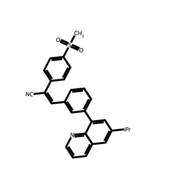 CC(C)c1cc(-c2cccc(C=C(C#N)c3ccc(S(C)(=O)=O)cc3)c2)c2ncccc2c1